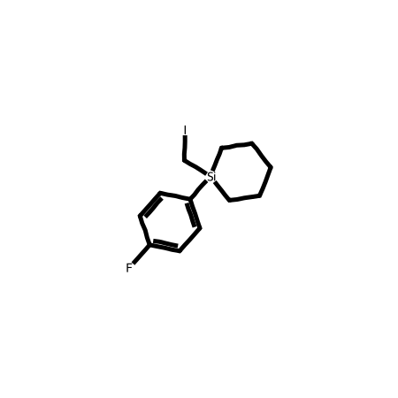 Fc1ccc([Si]2(CI)CCCCC2)cc1